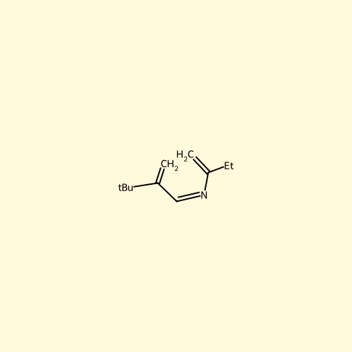 C=C(CC)/N=C\C(=C)C(C)(C)C